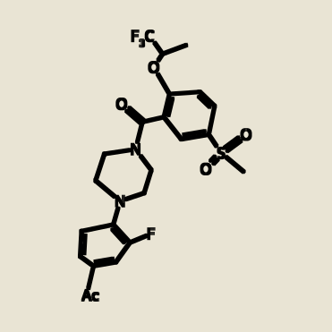 CC(=O)c1ccc(N2CCN(C(=O)c3cc(S(C)(=O)=O)ccc3OC(C)C(F)(F)F)CC2)c(F)c1